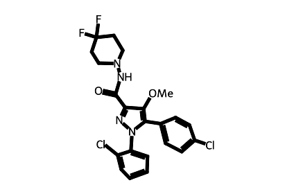 COc1c(C(=O)NN2CCC(F)(F)CC2)nn(-c2ccccc2Cl)c1-c1ccc(Cl)cc1